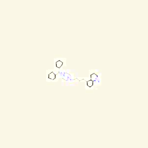 c1ccc(C(c2ccccc2)N2CCN(CCCCc3cccc4ncccc34)CC2)cc1